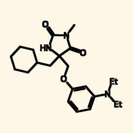 CCN(CC)c1cccc(OCC2(CC3CCCCC3)NC(=O)N(C)C2=O)c1